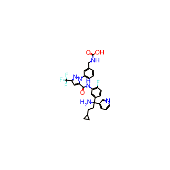 NC(CCC1CC1)(c1cccnc1)c1ccc(F)c(NC(=O)c2cc(C(F)(F)F)nn2-c2cccc(CNC(=O)O)c2)c1